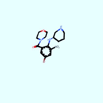 O=C(c1cc(Br)cc([N+](=O)[O-])c1N[C@@H]1CCCNC1)N1CCOCC1